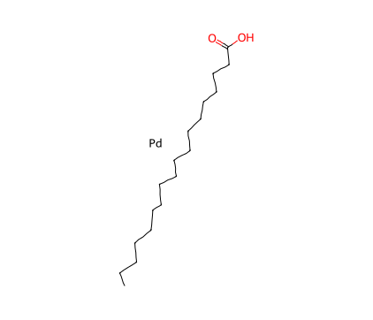 CCCCCCCCCCCCCCCCCC(=O)O.[Pd]